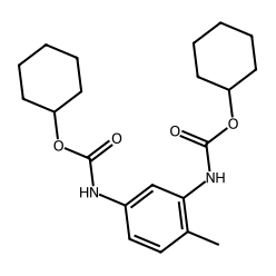 Cc1ccc(NC(=O)OC2CCCCC2)cc1NC(=O)OC1CCCCC1